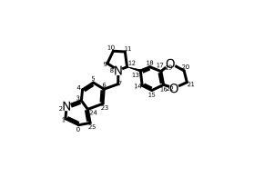 c1cnc2ccc(CN3CCC[C@H]3c3ccc4c(c3)OCCO4)cc2c1